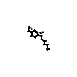 COc1ccc(CCNCCO)cc1.Cl